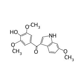 COc1ccc2c(C(=O)c3cc(OC)c(O)c(OC)c3)c[nH]c2c1